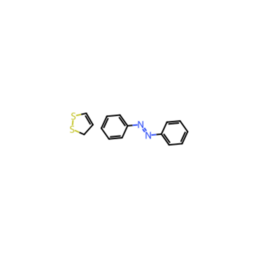 C1=CSSC1.c1ccc(/N=N/c2ccccc2)cc1